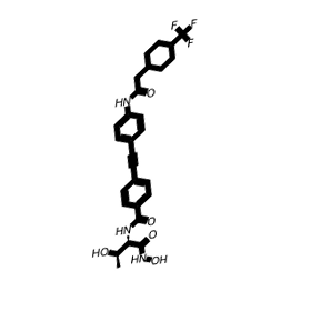 C[C@@H](O)[C@H](NC(=O)c1ccc(C#Cc2ccc(NC(=O)CC3CCC(C(F)(F)F)CC3)cc2)cc1)C(=O)NO